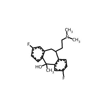 CN(C)CCC1Cc2cc(F)ccc2C(C)(O)c2cc(F)ccc21